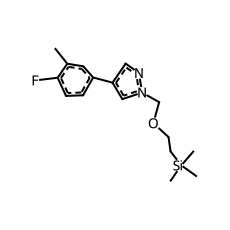 Cc1cc(-c2cnn(COCC[Si](C)(C)C)c2)ccc1F